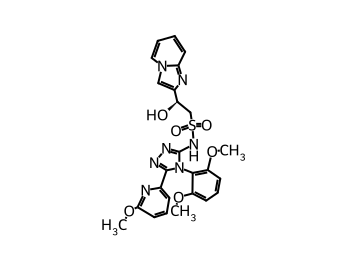 COc1cccc(-c2nnc(NS(=O)(=O)C[C@@H](O)c3cn4ccccc4n3)n2-c2c(OC)cccc2OC)n1